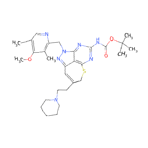 COc1c(C)cnc(Cn2nc3c4c(nc(NC(=O)OC(C)(C)C)nc42)SCC(CCN2CCCCC2)=C3)c1C